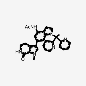 CC(=O)Nc1cc(-c2cn(C)c3c(=O)[nH]ccc23)cc2c1ccn2C(C)(c1ccccn1)c1ccccn1